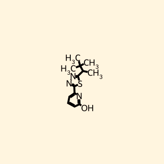 CC(c1nnc(-c2cccc(O)n2)s1)C(C)(C)C